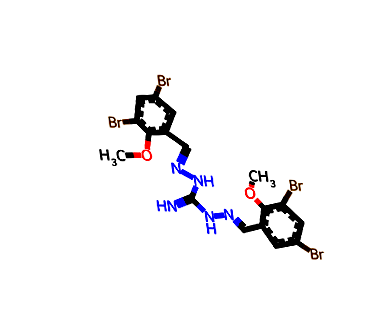 COc1c(Br)cc(Br)cc1/C=N/NC(=N)N/N=C/c1cc(Br)cc(Br)c1OC